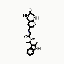 Cc1[nH]c2ccccc2c1C(C)N(C)C(=O)/C=C/c1cnc2c(c1)CNC(=O)CN2